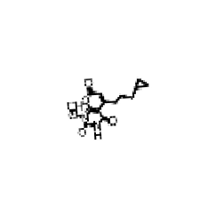 COn1c(=O)[nH]c(=O)c2c(CCCC3CC3)cc(=O)oc21